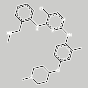 CNCc1ccccc1Nc1nc(Nc2ccc(OC3CCN(C)CC3)cc2C)ncc1Cl